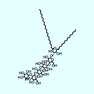 CCCCCCCCCCCCC/C=C/[C@@H](O)[C@H](CO[C@@H]1OC(CO)[C@@H](O[C@@H]2OC(CO)[C@H](O[C@@H]3OC(CO)[C@H](O)[C@H](O[C@H]4OC(CO)[C@H](O)[C@H](O)C4O[C@H]4OC(C)[C@@H](O)C(O)[C@@H]4O)C3O)[C@H](O)C2O)[C@H](O)C1O)NC(=O)CCCCCCCCCCCCCCCCCCCCC